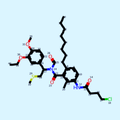 CCCCCCCCc1ccc(NC(=O)CCCCl)c(C)c1C(=O)N(C=O)C(CSC)c1ccc(OC)c(OCC)c1